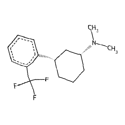 CN(C)[C@@H]1CCC[C@H](c2ccccc2C(F)(F)F)C1